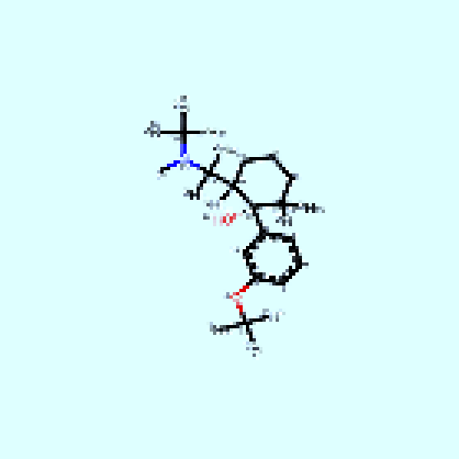 [2H]C([2H])([2H])Oc1cccc([C@]2(O)C([2H])([2H])CCC[C@@]2([2H])C([2H])([2H])N(C)C([2H])([2H])[2H])c1